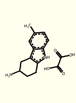 Cc1ccc2[nH]c3c(c2c1)CC(N)CC3.O=C(O)C(=O)O